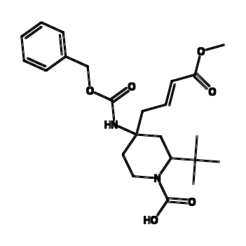 COC(=O)C=CCC1(NC(=O)OCc2ccccc2)CCN(C(=O)O)C(C(C)(C)C)C1